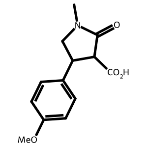 COc1ccc(C2CN(C)C(=O)C2C(=O)O)cc1